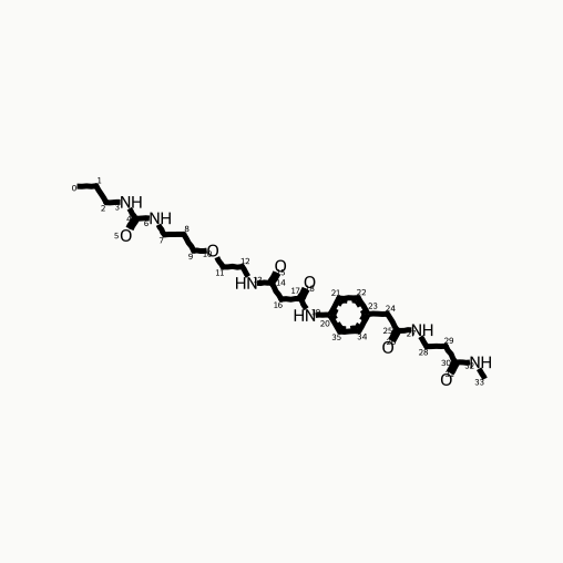 CCCNC(=O)NCCCOCCNC(=O)CC(=O)Nc1ccc(CC(=O)NCCC(=O)NC)cc1